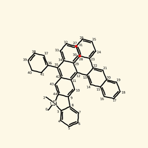 C[Si]1(C)c2ccccc2-c2cc3c(-c4cc5ccccc5cc4-c4ccccc4)c4ccccc4c(C4=CC=CCC4)c3cc21